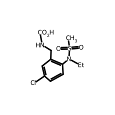 CCN(c1ccc(Cl)cc1CNC(=O)O)S(C)(=O)=O